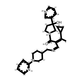 C/C(=C(\C=N/CC1CCN(c2ccccn2)CC1)C(=O)N1CCC(O)(c2cccnc2)C1)C1CC1